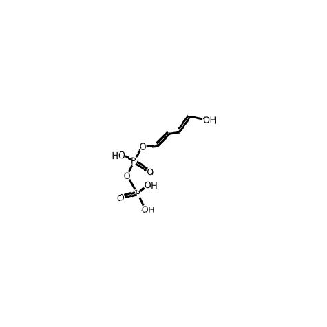 O=P(O)(O)OP(=O)(O)OC=CC=CO